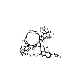 COc1ccc2nc(C)c3c(c2c1)[C@H](F)C[C@]1(C[C@H]2C(=O)N[C@]4(C(=O)NS(=O)(=O)C5(C)CC5)C[C@H]4/C=C\CCCCC[C@H](N(C(=O)O)C(C)C(C)(C)C)C(=O)N2C1)O3